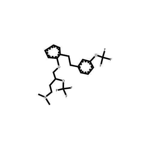 CN(C)CCC(COc1ccccc1CCc1cccc(OC(F)(F)F)c1)OC(F)(F)F